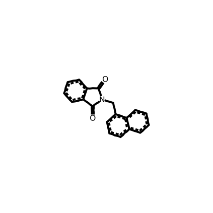 O=C1c2ccccc2C(=O)N1Cc1cccc2ccccc12